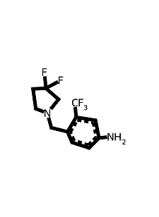 Nc1ccc(CN2CCC(F)(F)C2)c(C(F)(F)F)c1